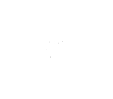 [Au].[Cr].[Cr].[Cu].[Cu]